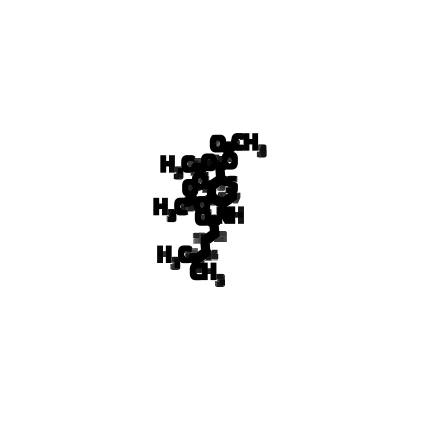 CC(=O)OCC1SCC(NC(=O)CCCC(C)C)C(OC(C)=O)C1OC(C)=O